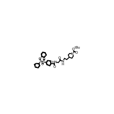 CC(C)(C)OC(=O)N1CCC(CCNC(=O)CNC(=O)c2ccc(S(=O)(=O)N(Oc3ccccc3)c3ccccc3)cc2)CC1